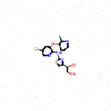 Cc1ncccc1Oc1cc(Cl)cnc1Nc1nc(C(O)CO)cs1